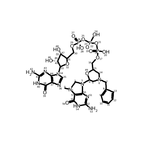 CN1CN(C2CN(Cc3ccccc3)CC(COP(=O)(O)OP(=O)(O)OP(=O)(O)OCC3OC(n4cnc5c(=O)[nH]c(N)nc54)[C@H](O)[C@@H]3O)O2)c2nc(N)[nH]c(=O)c21